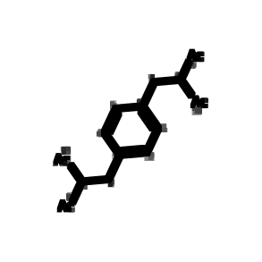 CC(=O)C(Cc1ccc(CC(C(C)=O)C(C)=O)cc1)C(C)=O